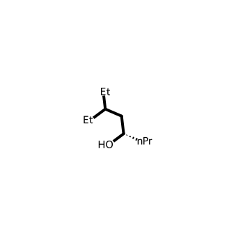 CCC[C@H](O)CC(CC)CC